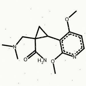 COc1ccnc(OC)c1C1CC1(CN(C)C)C(N)=O